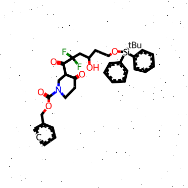 CC(C)(C)[Si](OCCC(O)CC(F)(F)C(=O)C1CN(C(=O)OCc2ccccc2)CCC1=O)(c1ccccc1)c1ccccc1